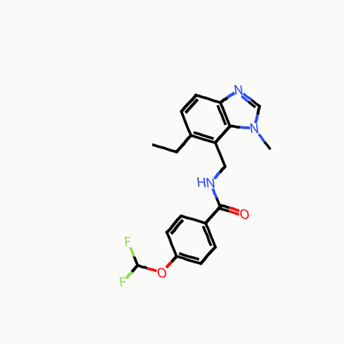 CCc1ccc2ncn(C)c2c1CNC(=O)c1ccc(OC(F)F)cc1